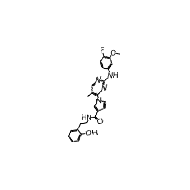 COc1cc(Nc2ncc(C)c(-n3ccc(C(=O)NCCc4ccccc4O)c3)n2)ccc1F